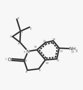 CC1(C)CC1N1C(=O)CCc2cc(N)ccc21